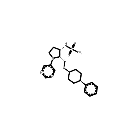 CS(=O)(=O)N[C@H]1CCN(c2cncnc2)[C@H]1CO[C@H]1CC[C@@H](c2ccccc2)CC1